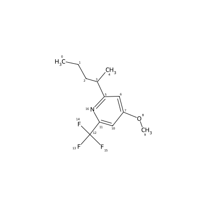 CCCC(C)c1cc(OC)cc(C(F)(F)F)n1